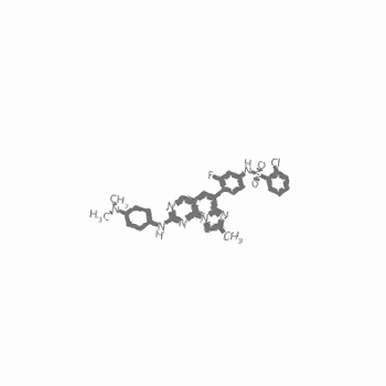 Cc1cn2c(n1)c(-c1ccc(NS(=O)(=O)c3ccccc3Cl)cc1F)cc1cnc(NC3CCC(N(C)C)CC3)nc12